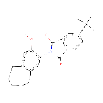 COc1cc2c(cc1N1C(=O)c3ccc(C(C)(C)C)cc3C1O)CCCCC2